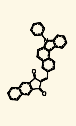 O=C1C(=Cc2ccc3c(ccc4c3c3ccccc3n4-c3ccccc3)c2)C(=O)c2cc3ccccc3cc21